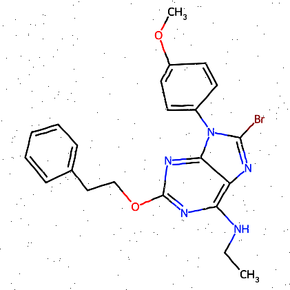 CCNc1nc(OCCc2ccccc2)nc2c1nc(Br)n2-c1ccc(OC)cc1